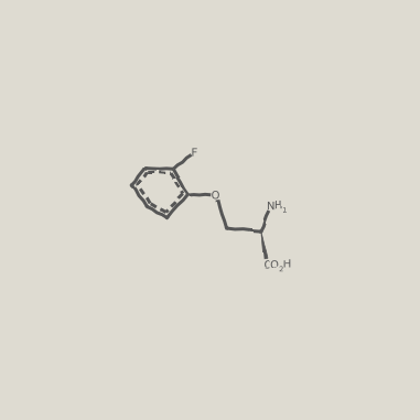 N[C@H](COc1ccccc1F)C(=O)O